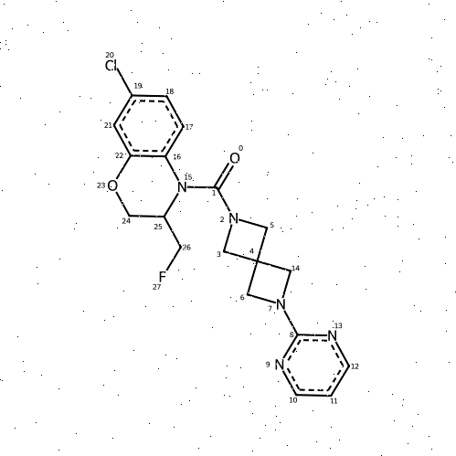 O=C(N1CC2(C1)CN(c1ncccn1)C2)N1c2ccc(Cl)cc2OCC1CF